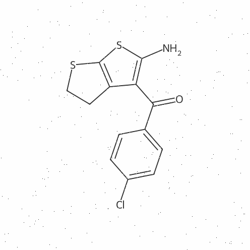 Nc1sc2c(c1C(=O)c1ccc(Cl)cc1)CCS2